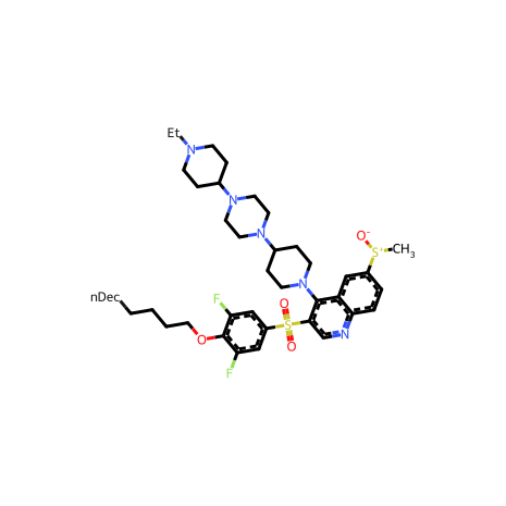 CCCCCCCCCCCCCCOc1c(F)cc(S(=O)(=O)c2cnc3ccc([S+](C)[O-])cc3c2N2CCC(N3CCN(C4CCN(CC)CC4)CC3)CC2)cc1F